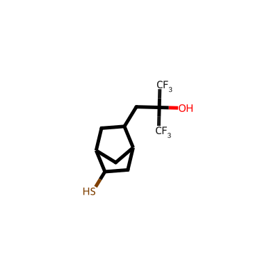 OC(CC1CC2CC1CC2S)(C(F)(F)F)C(F)(F)F